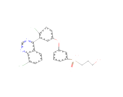 O=S(=O)(CCCO)c1cccc(Oc2ccc(Cl)c(-c3ncnc4c(Cl)cccc34)c2)c1